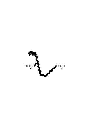 CCCCC/C=C\C/C=C\CCCCC(CCCCC/C=C\C/C=C\CCCCCCCC(=O)O)CCC(=O)O